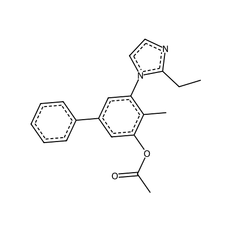 CCc1nccn1-c1cc(-c2ccccc2)cc(OC(C)=O)c1C